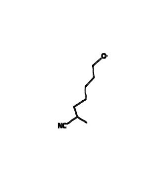 CC(C#N)CCCCC[O]